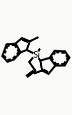 C=CC[Si](C)(C1C(C)=Cc2ccccc21)C1C(C)=Cc2ccccc21